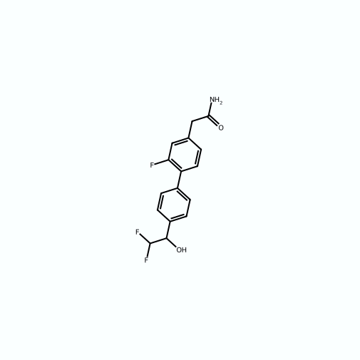 NC(=O)Cc1ccc(-c2ccc(C(O)C(F)F)cc2)c(F)c1